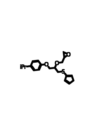 CC(C)c1ccc(OCC(CSC2=CCC=C2)OCC2CO2)cc1